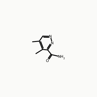 Cc1cnnc(C(N)=O)c1C